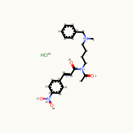 CC(=O)N(CCCCN(C)Cc1ccccc1)C(=O)/C=C/c1ccc([N+](=O)[O-])cc1.Cl